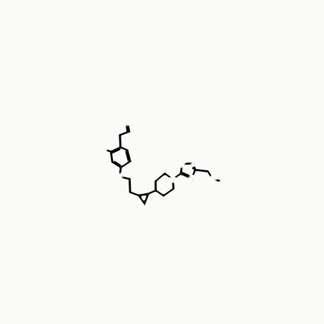 COCc1noc(N2CCC(C3CC3CCOc3ccc(CC=O)c(F)c3)CC2)n1